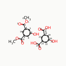 COC(=O)c1cc(O)cc(C(=O)OC)c1.O=C(O)c1cc(O)cc(C(=O)O)c1